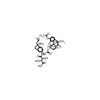 C#CCC1(N)CCc2ccccc21.CC(=O)Oc1ccc2c3c1O[C@H]1[C@@H](OC(C)=O)C=C[C@H]4[C@@H](C2)N(C)CC[C@@]341.O=C(O)C(O)C(O)C(=O)O